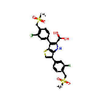 CS(=O)(=O)Cc1ccc(-c2csc3c(-c4ccc(CS(C)(=O)=O)c(Cl)c4)c(C(O)O)[nH]c23)cc1Cl